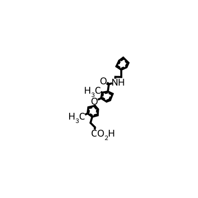 Cc1cc(Oc2cccc(C(=O)NCCc3ccccc3)c2C)ccc1CCC(=O)O